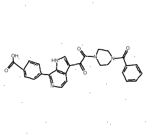 O=C(O)c1ccc(-c2nccc3c(C(=O)C(=O)N4CCN(C(=O)c5ccccc5)CC4)c[nH]c23)cc1